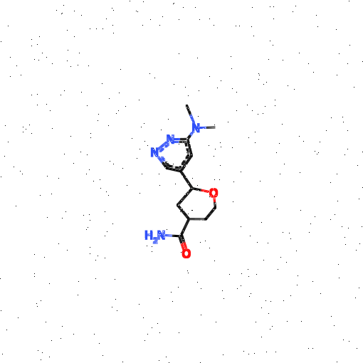 CN(C)c1cc(C2CC(C(N)=O)CCO2)cnn1